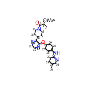 COC(C)C(=O)N1CCC(c2nccnc2Oc2ccc(Nc3ccc(C)cn3)cc2)CC1